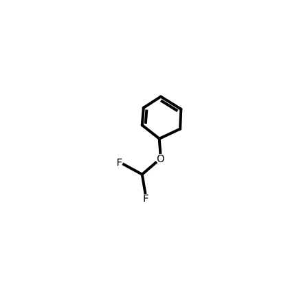 FC(F)OC1C=CC=CC1